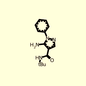 CC(C)(C)NC(=O)c1cnn(-c2ccccc2)c1N